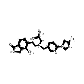 Cc1cn(-c2ccc(CN(CCc3ccc4c(c3C)COC4=O)CC(N)=O)cn2)cn1